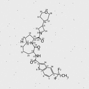 CC(F)(F)c1ccc2sc(C(=O)NC3CCC[C@H]4CC[C@@H](C(=O)N5CC(C6CCOCC6)C5)N4C3=O)cc2c1